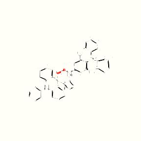 c1ccc(N2c3ccccc3C3(c4ccccc42)c2ccccc2N(c2cc4c5c(c2)Oc2ccccc2B5c2ccccc2O4)c2ccccc23)cc1